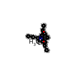 CC1(C)c2cc(-c3ccc(-c4ccccc4)cc3)cc3c2-n2c4c(cc(-c5ccc(-c6ccccc6)cc5)cc4c4cc(-c5ccc(-c6ccccc6)cc5)cc1c42)B3c1c(-c2ccccc2)cccc1-c1ccccc1